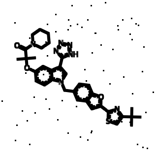 CC(C)(Oc1ccc2c(c1)c(-c1nnn[nH]1)cn2Cc1ccc2oc(-c3nc(C(C)(C)C)cs3)cc2c1)C(=O)N1CCCCC1